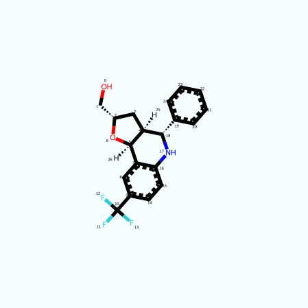 OC[C@@H]1C[C@@H]2[C@H](O1)c1cc(C(F)(F)F)ccc1N[C@H]2c1ccccc1